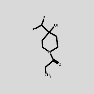 CCC(=O)N1CCC(O)(C(F)F)CC1